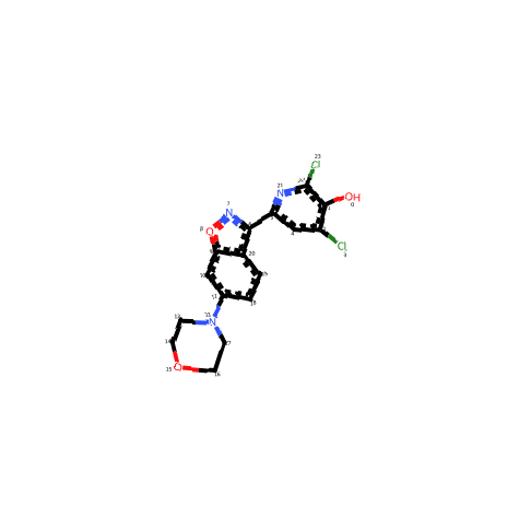 Oc1c(Cl)cc(-c2noc3cc(N4CCOCC4)ccc23)nc1Cl